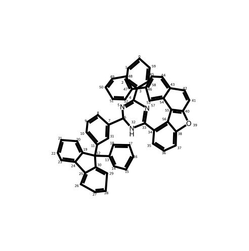 c1ccc(C2=NC(c3cccc(C4(c5ccccc5)c5ccccc5-c5ccccc54)c3)NC(c3cccc4oc5ccc6ccc(-c7ccccc7)cc6c5c34)=N2)cc1